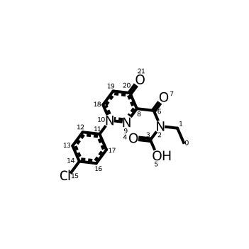 CCN(C(=O)O)C(=O)c1nn(-c2ccc(Cl)cc2)ccc1=O